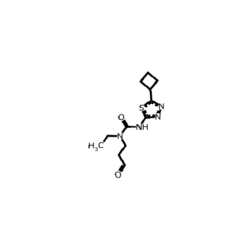 CCN(CCC=O)C(=O)Nc1nnc(C2CCC2)s1